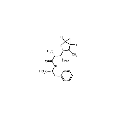 CO[C@H]([C@@H](C)C(=O)N[C@@H](Cc1ccccc1)C(=O)O)[C@@H]1C[C@@H]2C[C@@H]2N1C